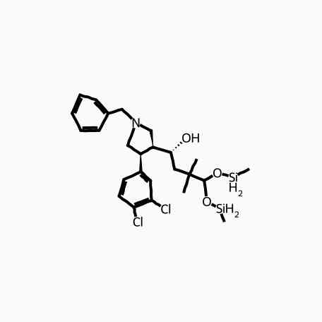 C[SiH2]OC(O[SiH2]C)C(C)(C)C[C@@H](O)[C@@H]1CN(Cc2ccccc2)C[C@@H]1c1ccc(Cl)c(Cl)c1